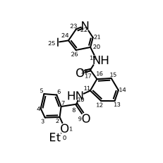 CCOc1ccccc1C(=O)Nc1ccccc1C(=O)Nc1cncc(I)c1